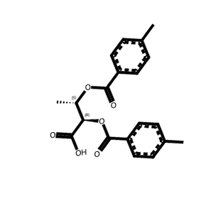 Cc1ccc(C(=O)O[C@@H](C)[C@@H](OC(=O)c2ccc(C)cc2)C(=O)O)cc1